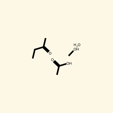 CC(=O)O.CCC(C)=O.CO.O